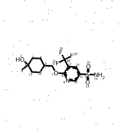 CC1(O)CCC(COc2ncc(S(N)(=O)=O)cc2C(F)(F)F)CC1